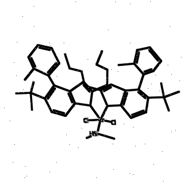 CCCCC1=Cc2c(ccc(C(C)(C)C)c2-c2ccccc2C)[CH]1[Zr]([Cl])([Cl])([CH]1C(CCCC)=Cc2c1ccc(C(C)(C)C)c2-c1ccccc1C)[SiH](C)C